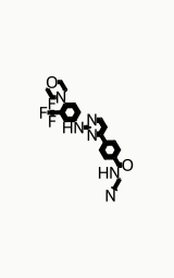 N#CCNC(=O)c1ccc(-c2ccnc(Nc3ccc(N4CCOCC4)c(C(F)(F)F)c3)n2)cc1